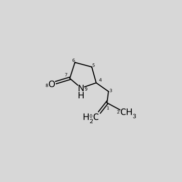 C=C(C)CC1CCC(=O)N1